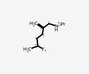 C=C(CCC(C)F)CNC(C)C